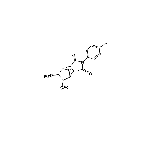 COC1C(OC(C)=O)C2OC1C1C(=O)N(c3ccc(C)cc3)C(=O)C21